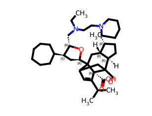 CCN(CCN1CCCCC1)C[C@@H]1O[C@@H](C23C[C@@H]4[C@H](C)CC[C@H]4C4(C=O)CC2C=C(C(C)C)[C@]43C(=O)O)C[C@H]1C1CCCCCC1